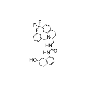 O=C(NCC1CCc2ccc(C(F)(F)F)cc2N1Cc1ccccc1)Nc1cccc2c1CC(O)CC2